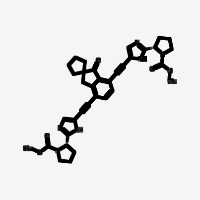 CC(C)(C)OC(=O)N1CCC[C@H]1c1ncc(C#Cc2ccc(C#Cc3cnc([C@@H]4CCCN4C(=O)OC(C)(C)C)[nH]3)c3c2CC2(CCCC2)C3=O)[nH]1